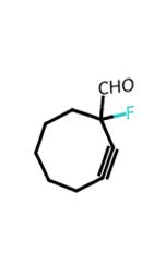 O=CC1(F)C#CCCCCC1